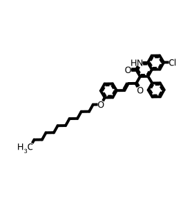 CCCCCCCCCCCCOc1cccc(C=CC(=O)c2c(-c3ccccc3)c3cc(Cl)ccc3[nH]c2=O)c1